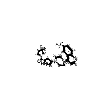 O=C([C@@H]1C[C@H](N2CCN(c3ccnc4ccc(C(F)(F)F)cc34)CC2)CN1)N1CCC(F)(F)C1